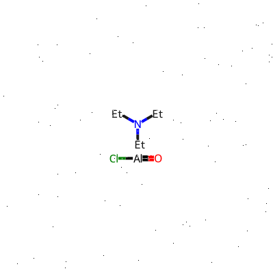 CCN(CC)CC.[O]=[Al][Cl]